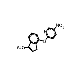 CC(=O)OC1=CCc2c(Oc3ccc([N+](=O)[O-])cn3)cccc21